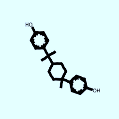 CC1(c2ccc(O)cc2)CCC(C(C)(C)c2ccc(O)cc2)CC1